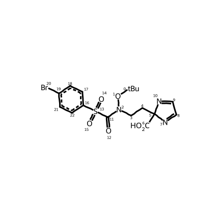 CC(C)(C)ON(CCC1(C(=O)O)N=CC=N1)C(=O)S(=O)(=O)c1ccc(Br)cc1